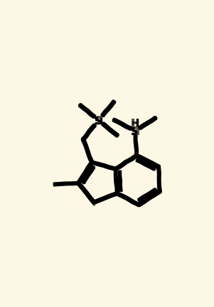 CC1=C(C[Si](C)(C)C)c2c(cccc2[SiH](C)C)[CH]1